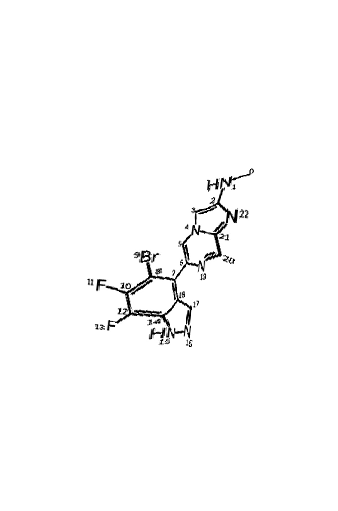 CNc1cn2cc(-c3c(Br)c(F)c(F)c4[nH]ncc34)ncc2n1